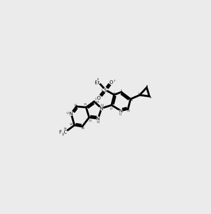 CCS(=O)(=O)c1cc(C2CC2)cnc1-n1cc2cnc(C(F)(F)F)cc2n1